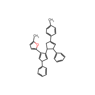 Cc1ccc(C2=CC(c3ccccc3)C(C3=CC(c4ccccc4)C=C3c3ccc(C)o3)C2)cc1